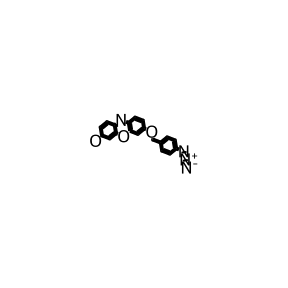 [N-]=[N+]=Nc1ccc(COc2ccc3nc4ccc(=O)cc-4oc3c2)cc1